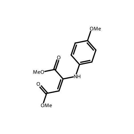 COC(=O)C=C(Nc1ccc(OC)cc1)C(=O)OC